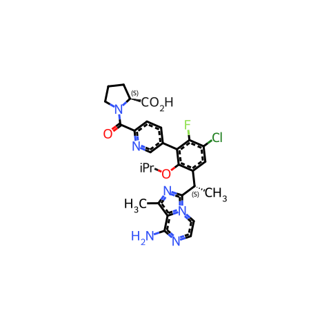 Cc1nc([C@@H](C)c2cc(Cl)c(F)c(-c3ccc(C(=O)N4CCC[C@H]4C(=O)O)nc3)c2OC(C)C)n2ccnc(N)c12